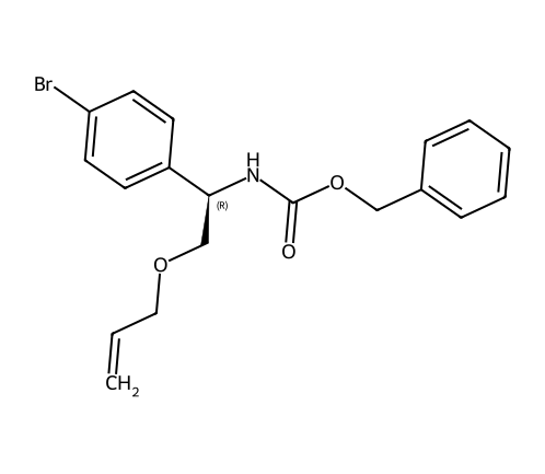 C=CCOC[C@H](NC(=O)OCc1ccccc1)c1ccc(Br)cc1